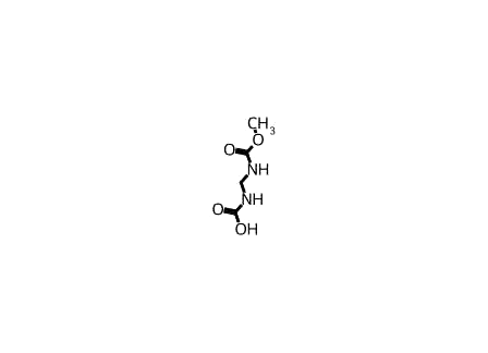 COC(=O)NCNC(=O)O